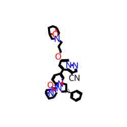 N#Cc1cnn2cc(OCCCN3CC4CCC(C3)O4)cc(-c3ccc(N4CC5CC(C4)N5C(=O)N4CC[C@@H](c5ccccc5)C4)nc3)c12